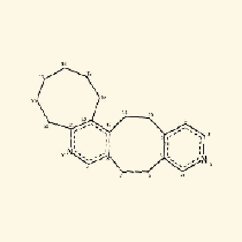 c1cc2c(cn1)CCc1cnc3c(c1CC2)CCCCCC3